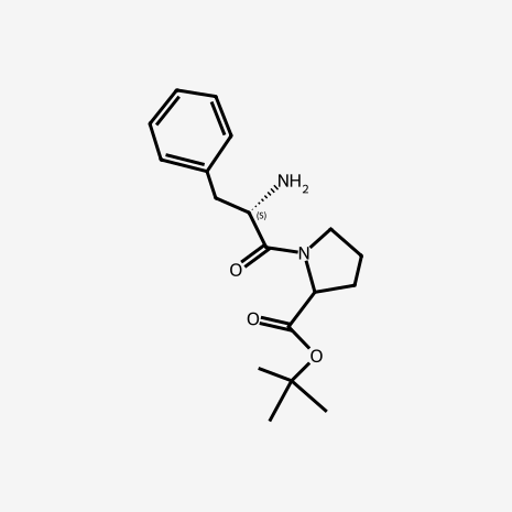 CC(C)(C)OC(=O)C1CCCN1C(=O)[C@@H](N)Cc1ccccc1